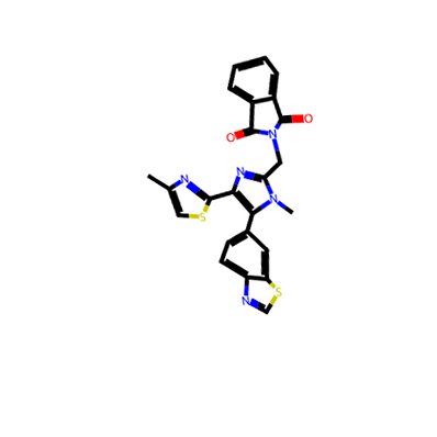 Cc1csc(-c2nc(CN3C(=O)c4ccccc4C3=O)n(C)c2-c2ccc3ncsc3c2)n1